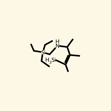 CC[Si](CC)(CC)CNC(C)C(C)=C(C)[SiH3]